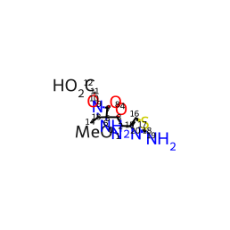 CON=C(C(=O)C1(N)C(=O)N(OCC(=O)O)C1C)c1csc(N)n1